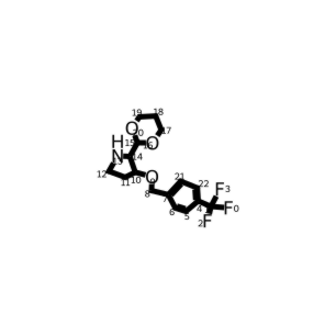 FC(F)(F)c1ccc(COC2CCNC2C2OCCCO2)cc1